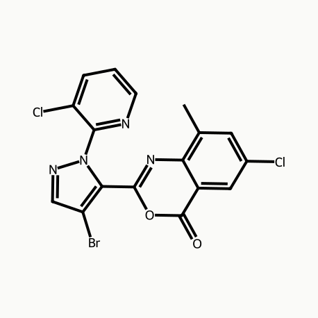 Cc1cc(Cl)cc2c(=O)oc(-c3c(Br)cnn3-c3ncccc3Cl)nc12